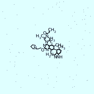 C=CC(=O)N1C[C@H](C)N(c2nc(OCCN3CCCC3)nc3c(F)c(-c4c(C)ccc5[nH]nc(N)c45)c(C)cc23)C[C@H]1C